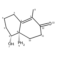 CC1=C2CCC[C@@H](O)[C@]2(P)CCC1=O